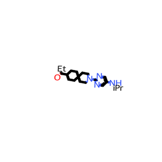 CCC(=O)C1CCC2(CC1)CCN(c1ncc(NC(C)C)cn1)CC2